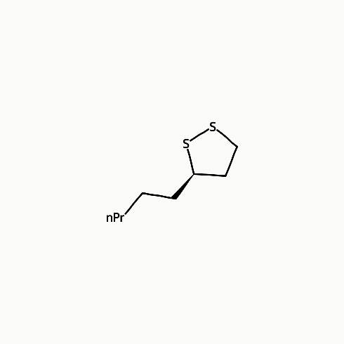 CCCCC[C@@H]1CCSS1